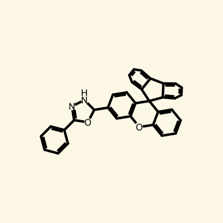 c1ccc(C2=NNC(c3ccc4c(c3)Oc3ccccc3C43c4ccccc4-c4ccccc43)O2)cc1